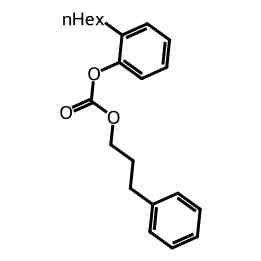 CCCCCCc1ccccc1OC(=O)OCCCc1ccccc1